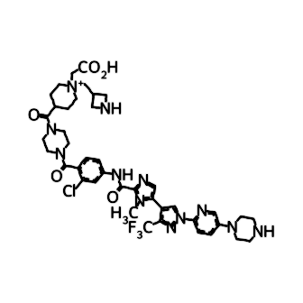 Cn1c(-c2cn(-c3ccc(N4CCNCC4)cn3)nc2C(F)(F)F)cnc1C(=O)Nc1ccc(C(=O)N2CCN(C(=O)C3CC[N+](CC(=O)O)(CC4CNC4)CC3)CC2)c(Cl)c1